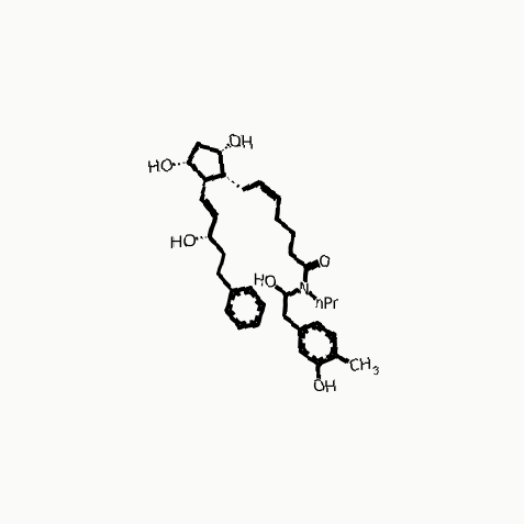 CCCN(C(=O)CCC/C=C\C[C@@H]1[C@@H](/C=C/[C@@H](O)CCc2ccccc2)[C@H](O)C[C@@H]1O)C(O)Cc1ccc(C)c(O)c1